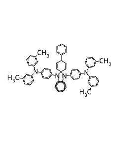 Cc1cccc(N(c2ccc(N(c3ccccc3)C3(N(c4ccccc4)c4ccc(N(c5cccc(C)c5)c5cccc(C)c5)cc4)C=CC(c4ccccc4)C=C3)cc2)c2cccc(C)c2)c1